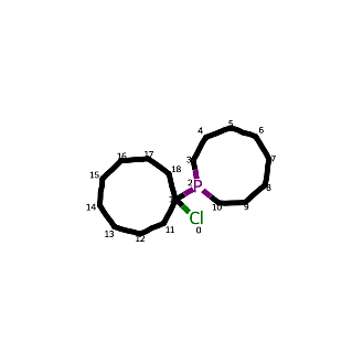 ClC1(P2CCCCCCCC2)CCCCCCCC1